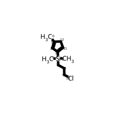 CC1=CC([Si](C)(C)CCCCl)=CC1